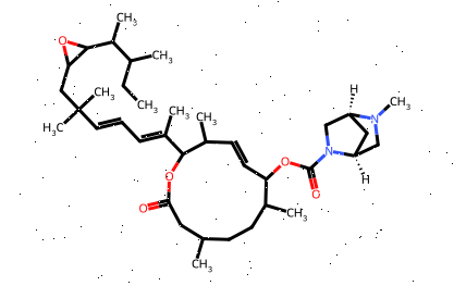 CCC(C)C(C)C1OC1CC(C)(C)/C=C/C=C(\C)C1OC(=O)CC(C)CCC(C)C(OC(=O)N2C[C@@H]3C[C@H]2CN3C)/C=C/C1C